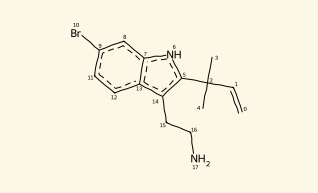 C=CC(C)(C)c1[nH]c2cc(Br)ccc2c1CCN